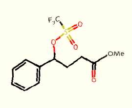 COC(=O)CCC(OS(=O)(=O)C(F)(F)F)c1ccccc1